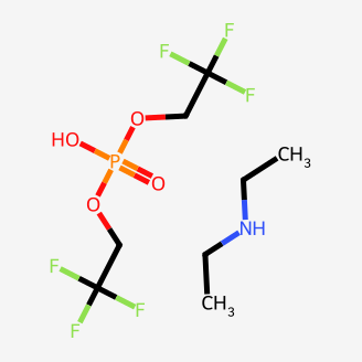 CCNCC.O=P(O)(OCC(F)(F)F)OCC(F)(F)F